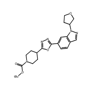 CC(C)(C)OC(=O)N1CCC(c2nnc(-c3ccc4cnn(C5CCOC5)c4c3)o2)CC1